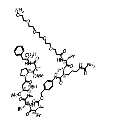 CC[C@H](C)[C@@H]([C@@H](CC(=O)N1CCC[C@H]1C(OC)[C@@H](C)C(=O)N[C@@H](Cc1ccccc1)C(=O)O)OC)N(C)C(=O)[C@@H](NC(=O)[C@H](C(C)C)N(C)C(=O)OCc1ccc(NC(=O)[C@H](CCCNC(N)=O)NC(=O)[C@@H](NC(=O)CCOCCOCCOCCOCCON)C(C)C)cc1)C(C)C